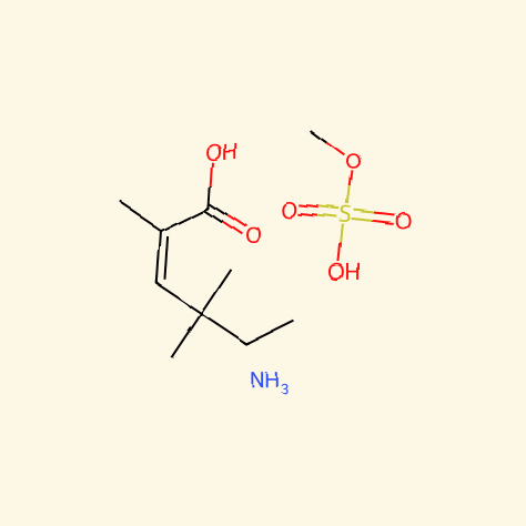 CCC(C)(C)C=C(C)C(=O)O.COS(=O)(=O)O.N